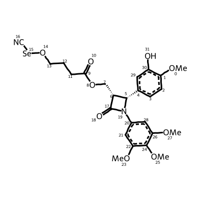 COc1ccc([C@H]2[C@@H](COC(=O)CCCO[Se]C#N)C(=O)N2c2cc(OC)c(OC)c(OC)c2)cc1O